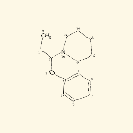 CCC(Oc1[c]cccc1)N1CCCCC1